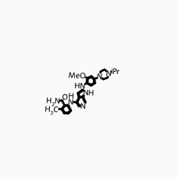 COc1cc(N2CCN(C(C)C)CC2)ccc1Nc1cc2c(Nc3cccc(C)c3C(N)=O)cncc2[nH]1